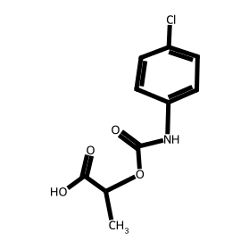 CC(OC(=O)Nc1ccc(Cl)cc1)C(=O)O